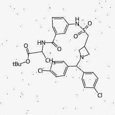 CC(NC(=O)c1cccc(NS(=O)(=O)CC2CN(C(c3ccc(Cl)cc3)c3ccc(Cl)cc3)C2)c1)C(=O)OC(C)(C)C